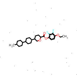 CCOc1ccc(OC(=O)C2CCC(C3CCC(C4CCC(C)CC4)CC3)CO2)c(F)c1F